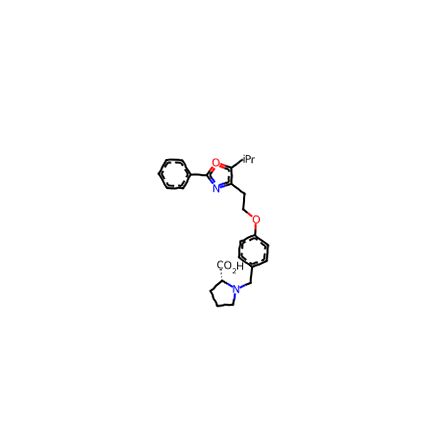 CC(C)c1oc(-c2ccccc2)nc1CCOc1ccc(CN2CCC[C@@H]2C(=O)O)cc1